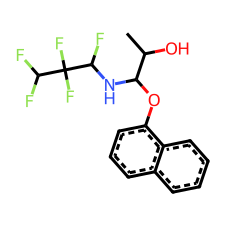 CC(O)C(NC(F)C(F)(F)C(F)F)Oc1cccc2ccccc12